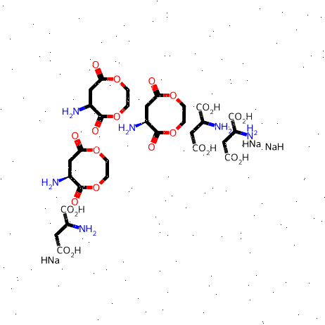 NC(CC(=O)O)C(=O)O.NC(CC(=O)O)C(=O)O.NC(CC(=O)O)C(=O)O.NC1CC(=O)OCCOC1=O.N[C@H]1CC(=O)OCCOC1=O.N[C@H]1CC(=O)OCCOC1=O.[NaH].[NaH].[NaH]